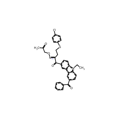 CCn1c2ccc(C(=O)/C(CCSc3ccc(Cl)cc3)=N/OCC(C)=O)cc2c2cc(C(=O)c3ccccc3)ccc21